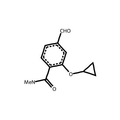 CNC(=O)c1ccc(C=O)cc1OC1CC1